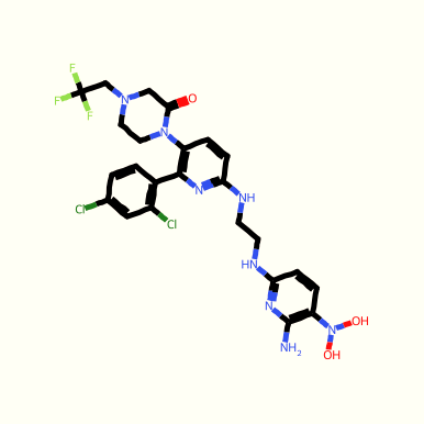 Nc1nc(NCCNc2ccc(N3CCN(CC(F)(F)F)CC3=O)c(-c3ccc(Cl)cc3Cl)n2)ccc1N(O)O